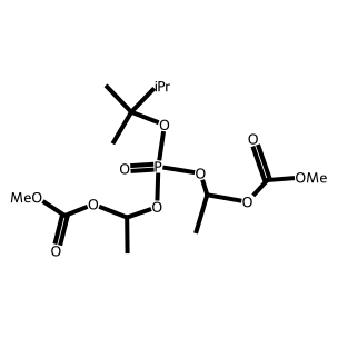 COC(=O)OC(C)OP(=O)(OC(C)OC(=O)OC)OC(C)(C)C(C)C